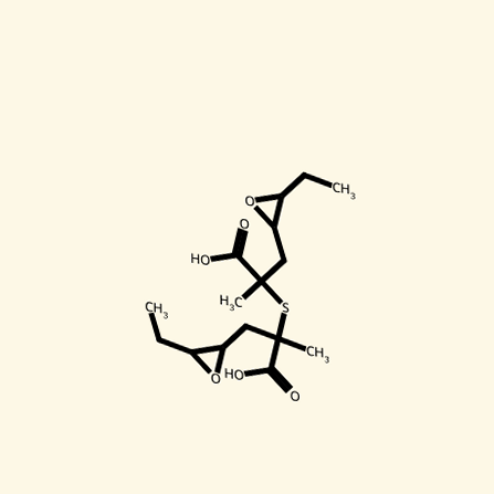 CCC1OC1CC(C)(SC(C)(CC1OC1CC)C(=O)O)C(=O)O